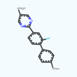 CCCCCCCc1cnc(-c2ccc(-c3ccc(CCCCCC)cc3)c(F)c2)nc1